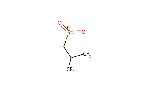 O=[SH](=O)CC(C(F)(F)F)C(F)(F)F